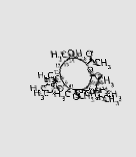 CC[Si](CC)(CC)O[C@H]1[C@@H](C)CCC[C@@]2(C)O[C@H]2C[C@@H](C(C)=O)OC(=O)C[C@H](O[Si](CC)(CC)CC)C(C)(C)C(=O)[C@@H]1C